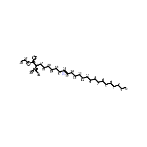 CCCCCCCCCCCCCCC/C=C/CCCCCCC(C(=O)OCC)N(C)C